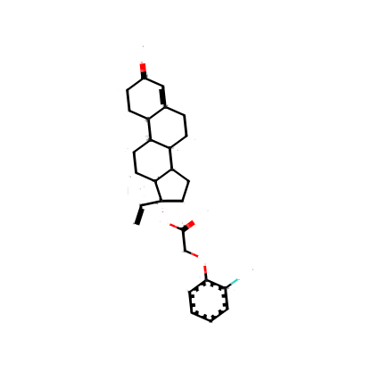 C=C[C@]1(OC(=O)COc2ccccc2F)CCC2C3CCC4=CC(=O)CCC4C3CC[C@@]21CC